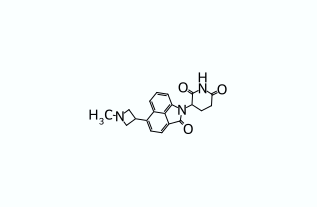 CN1CC(c2ccc3c4c(cccc24)N(C2CCC(=O)NC2=O)C3=O)C1